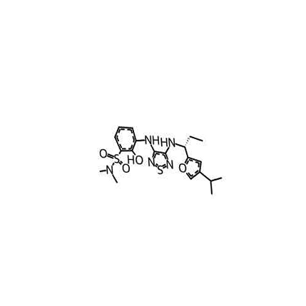 CC[C@@H](Nc1nsnc1Nc1cccc(S(=O)(=O)N(C)C)c1O)c1cc(C(C)C)co1